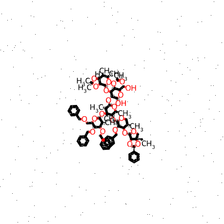 CC[C@]12CO[C@@H](OC3[C@H](C)CO[C@@H](O[C@H]4C(C)O[C@@H](O[C@@H]5C(O[C@@H]6OC(C)[C@H](C)[C@@H]7OC(C)(C)OC67)[C@@H](OC(C)=O)C(CO)O[C@@H]5O)[C@@H](C)C4(C)O[C@@H]4OC(COCc5ccccc5)[C@@H](OCc5ccccc5)C(OCc5ccccc5)[C@H]4C)[C@@H]3OCc3ccccc3)C1O[C@H](c1ccccc1)O2